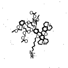 CCOC(=O)CN(CC(=O)OCOC(C)=O)c1ccccc1OCCOc1cc(OCCCCCCN=[N+]=[N-])c(C2=c3cc4c5c(c3Oc3c2cc2c6c3CCCN6CCC2)CCC[N+]=5CCC4)cc1N(CC(=O)OCC)CC(=O)OCOC(C)=O